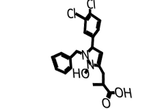 CC(CC1=CC(c2ccc(Cl)c(Cl)c2)N(Cc2ccccc2)N1O)C(=O)O